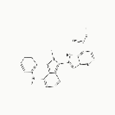 COC(=O)c1ccnc2cc(-c3c4cccc(N(C)c5ccccc5)c4nn3C)[nH]c12